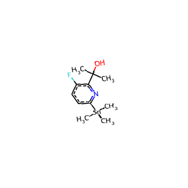 CC(C)(O)c1n[c]([Sn]([CH3])([CH3])[CH3])ccc1F